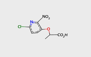 CC(Oc1ccc(Cl)nc1[N+](=O)[O-])C(=O)O